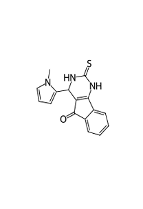 Cn1cccc1C1NC(=S)NC2=C1C(=O)c1ccccc12